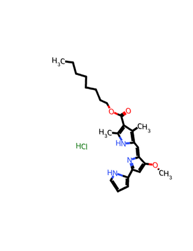 CCCCCCCCOC(=O)c1c(C)[nH]c(/C=C2\N=C(c3ccc[nH]3)C=C2OC)c1C.Cl